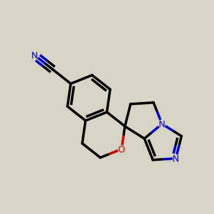 N#Cc1ccc2c(c1)CCOC21CCn2cncc21